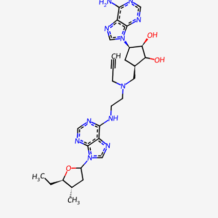 C#CCN(CCNc1ncnc2c1ncn2C1C[C@H](C)[C@@H](CC)O1)C[C@H]1C[C@@H](n2cnc3c(N)ncnc32)[C@@H](O)C1O